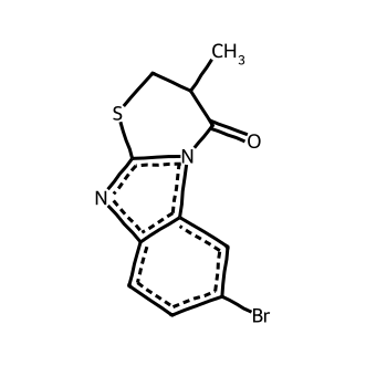 CC1CSc2nc3ccc(Br)cc3n2C1=O